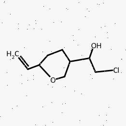 C=CC1CCC(C(O)CCl)CO1